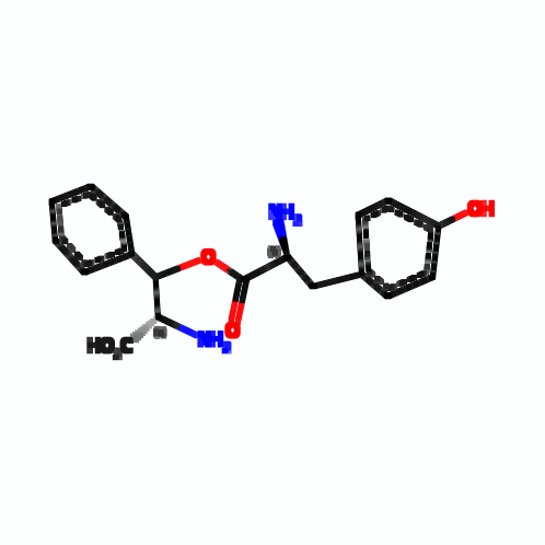 N[C@H](C(=O)O)C(OC(=O)[C@@H](N)Cc1ccc(O)cc1)c1ccccc1